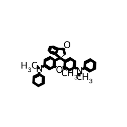 CN(C1=CCCC=C1)c1ccc2c(c1)OC1(C)CC(N(C)c3ccccc3)=CC=C1[C@@]21CC(=O)c2ccccc21